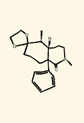 C[C@H]1[C@@H]2CCN(C)C(=O)C2(c2ccccc2)CCC12OCCO2